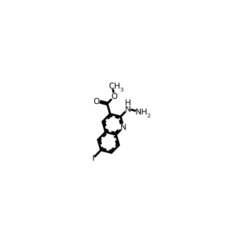 COC(=O)c1cc2cc(I)ccc2nc1NN